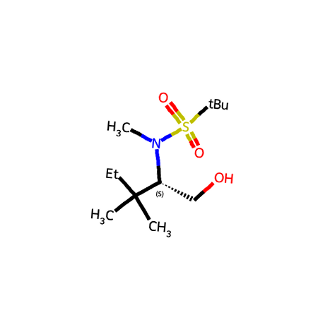 CCC(C)(C)[C@@H](CO)N(C)S(=O)(=O)C(C)(C)C